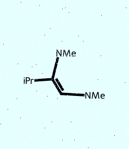 CN/C=C(\NC)C(C)C